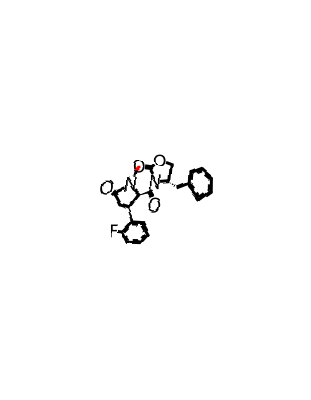 CN1C(=O)C[C@H](c2ccccc2F)[C@@H]1C(=O)N1C(=O)OC[C@@H]1Cc1ccccc1